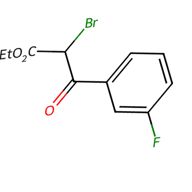 CCOC(=O)C(Br)C(=O)c1cccc(F)c1